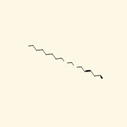 CCCCCCCCOCOCC=CCC=O